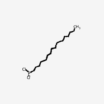 CCCCCCCCCCCCCCCCP(Cl)Cl